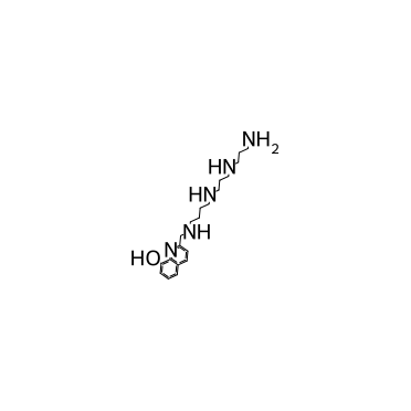 NCCCNCCCNCCCCNCc1ccc2cccc(O)c2n1